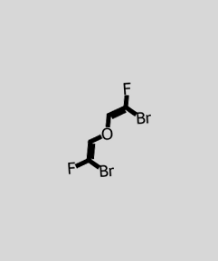 FC(Br)=COC=C(F)Br